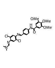 COc1cc(C(=O)Nc2ccc(C=Nc3cc(Cl)c(N=CN(C)C)cc3Cl)cc2)cc(OC)c1OC